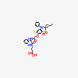 CCCCC1(CC)CN(c2ccccc2)c2cc(SC)c(OCC(=O)N[C@@H](C(=O)NCCCC(=O)O)c3ccccc3)cc2S(=O)(=O)C1